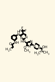 C=CC(=O)Nc1cccc(Nc2nc(Nc3cnc(N4CCN(C(O)N(C)C)CC4)nc3OC)ncc2C(F)(F)F)c1